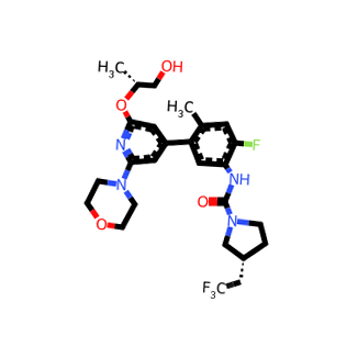 Cc1cc(F)c(NC(=O)N2CC[C@H](CC(F)(F)F)C2)cc1-c1cc(O[C@H](C)CO)nc(N2CCOCC2)c1